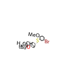 COc1ccc(Br)cc1SC[C@H]1CC[C@@H](O[Si](C)(C)C(C)(C)C)CC1